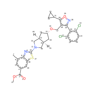 COC(=O)c1cc(C)c2nc(N3C[C@H]4C[C@H](OCc5c(-c6c(Cl)cccc6Cl)noc5C5CC5)C[C@H]4C3)sc2c1